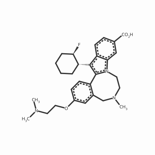 CN(C)CCOc1ccc2c(c1)CN(C)CCn1c-2c([C@@H]2CCCC[C@H]2F)c2ccc(C(=O)O)cc21